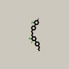 CCCC1CCC(C2CCC(CCCC3CCC(C4CCC(I)CC4F)CC3)C(F)C2F)CC1